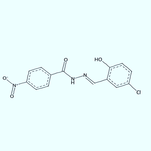 O=C(N/N=C/c1cc(Cl)ccc1O)c1ccc([N+](=O)[O-])cc1